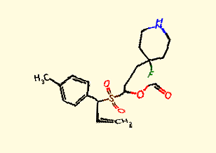 C=CC(c1ccc(C)cc1)S(=O)(=O)C(CC1(F)CCNCC1)OC=O